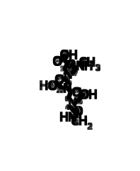 [CH2]NC(=O)CN(CCN(CCN(CCC(=O)O)CC(=O)NC)CC(=O)O)CC(=O)O